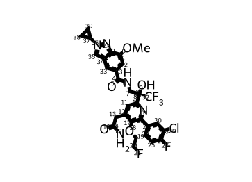 COc1cc(C(=O)NC[C@](O)(c2cc(CC(N)=O)c(OCCF)c(-c3ccc(F)c(Cl)c3)n2)C(F)(F)F)cc2cn(C3CC3)nc12